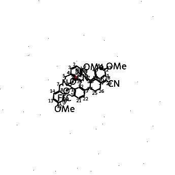 COc1ccc(CN(Cc2ccc(OC)cc2)S(=O)(=O)c2c(C(F)(F)F)ccc(C3CCC(=CC#N)CC3)c2-c2nnnn2Cc2ccc(OC)cc2)cc1